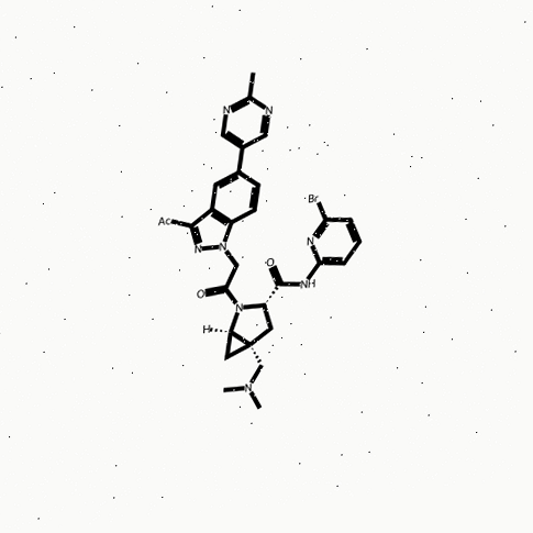 CC(=O)c1nn(CC(=O)N2[C@H](C(=O)Nc3cccc(Br)n3)C[C@@]3(CN(C)C)C[C@@H]23)c2ccc(-c3cnc(C)nc3)cc12